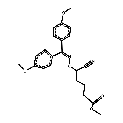 COC(=O)CCCC(C#N)ON=C(c1ccc(OC)cc1)c1ccc(OC)cc1